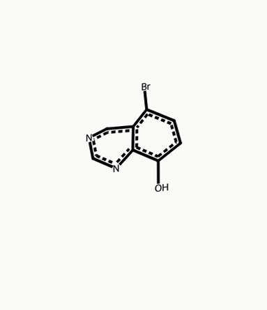 Oc1ccc(Br)c2cncnc12